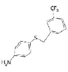 Nc1ccc(SCc2cccc(C(F)(F)F)c2)cc1